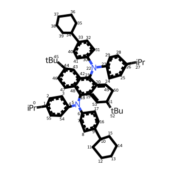 CC(C)c1ccc(N(c2ccc(C3CCCCC3)cc2)c2c3c(c(N(c4ccc(C(C)C)cc4)c4ccc(C5CCCCC5)cc4)c4cc(C(C)(C)C)ccc24)=CCC(C(C)(C)C)C=3)cc1